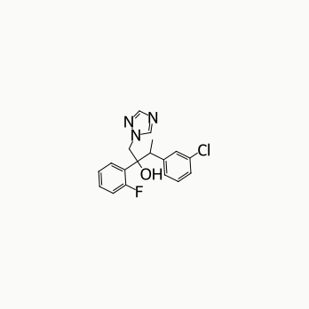 CC(c1cccc(Cl)c1)C(O)(Cn1cncn1)c1ccccc1F